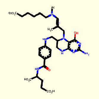 CCOC(=O)CCCCCN(/C=C(\C)CN1c2c(O)nc(N)nc2NCC1CNc1ccc(C(=O)NC(CCC(=O)O)C(=O)O)cc1)C(C)=O